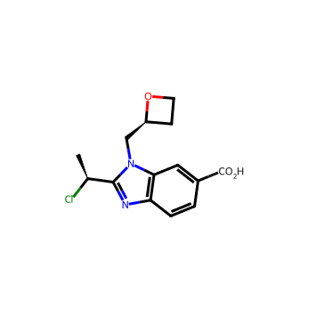 C[C@H](Cl)c1nc2ccc(C(=O)O)cc2n1C[C@@H]1CCO1